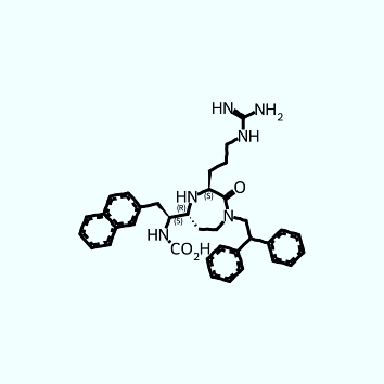 N=C(N)NCCC[C@@H]1N[C@@H]([C@H](Cc2ccc3ccccc3c2)NC(=O)O)CCN(CC(c2ccccc2)c2ccccc2)C1=O